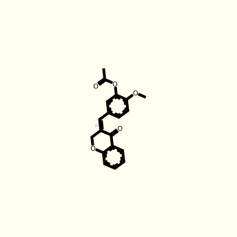 COc1ccc(/C=C2/COc3ccccc3C2=O)cc1OC(C)=O